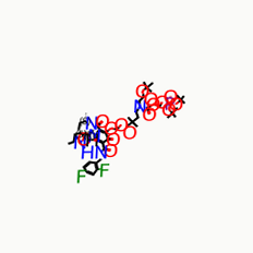 CC1=NO[C@@]2(CC[C@H](C)N3C[C@H]2n2cc(C(=O)NCc4ccc(F)cc4F)c(=O)c(OCOC(=O)C(C)(C)CCN(CC(=O)OC(C)(C)C)C(=O)OCOP(=O)(OC(C)(C)C)OC(C)(C)C)c2C3=O)C1